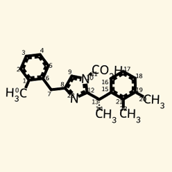 Cc1ccccc1Cc1cn(C(=O)O)c([C@@H](C)c2cccc(C)c2C)n1